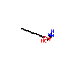 CCCCCCCCCCCCCCCCCCOC[C@H](CO)Oc1cnc(C#N)nc1